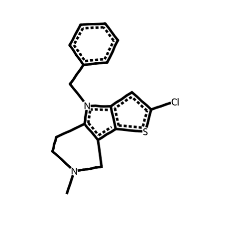 CN1CCc2c(c3sc(Cl)cc3n2Cc2ccccc2)C1